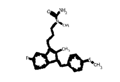 CSc1ccc(C=C2C(C)=C(CCCN(O)C(N)=O)c3cc(F)ccc32)cc1